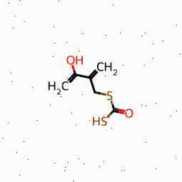 C=C(O)C(=C)CSC(=O)S